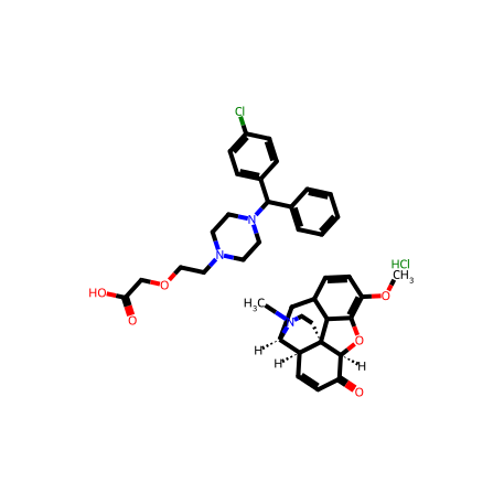 COC1=C2O[C@H]3C(=O)C=C[C@H]4[C@H]5CC(C=C1)C2[C@@]34CCN5C.Cl.O=C(O)COCCN1CCN(C(c2ccccc2)c2ccc(Cl)cc2)CC1